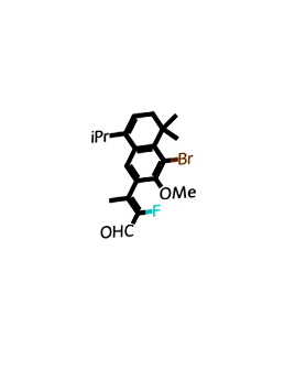 COc1c(C(C)=C(F)C=O)cc2c(c1Br)C(C)(C)CC=C2C(C)C